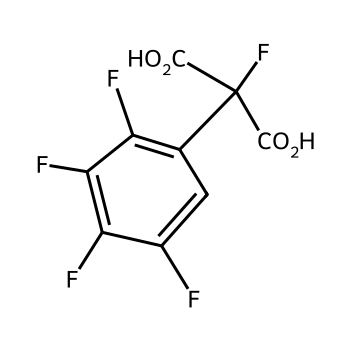 O=C(O)C(F)(C(=O)O)c1cc(F)c(F)c(F)c1F